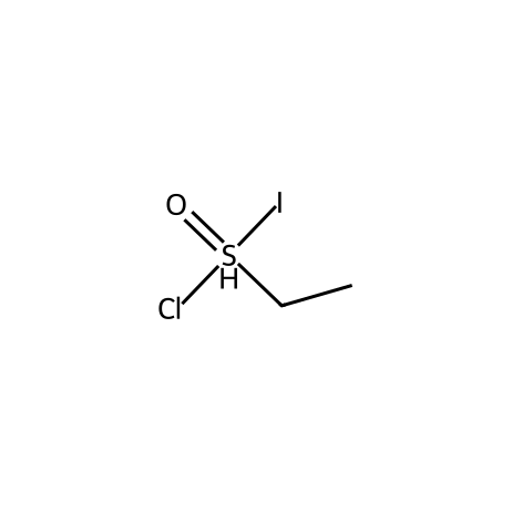 CC[SH](=O)(Cl)I